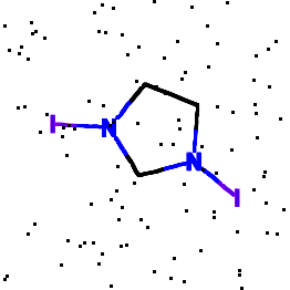 IN1CCN(I)C1